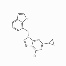 Nc1nc(C2CC2)nc2c1ncn2Cc1cccc2cc[nH]c12